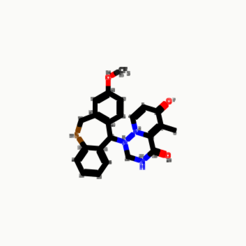 Cc1c2n(ccc1=O)N(C1c3ccc(OC(F)(F)F)cc3CSc3ccccc31)CNC2=O